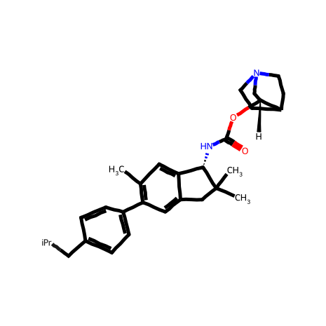 Cc1cc2c(cc1-c1ccc(CC(C)C)cc1)CC(C)(C)[C@H]2NC(=O)O[C@@H]1CN2CCC1CC2